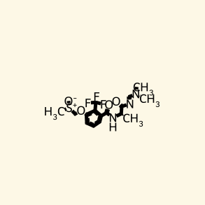 C[C@H](NC(=O)c1cccc(OC[S+](C)[O-])c1C(F)(F)F)C(=O)/N=C/N(C)C